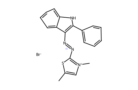 Cc1c[n+](C)c(/N=N/c2c(-c3ccccc3)[nH]c3ccccc23)s1.[Br-]